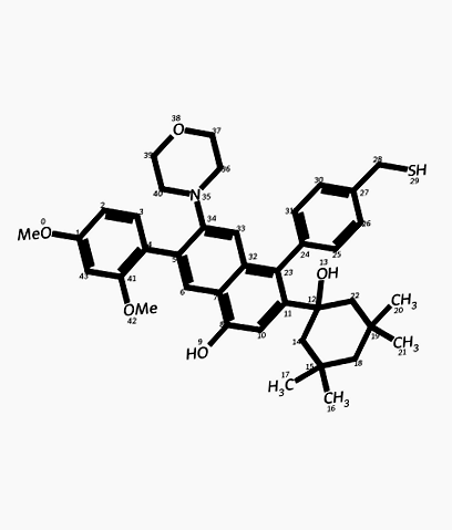 COc1ccc(-c2cc3c(O)cc(C4(O)CC(C)(C)CC(C)(C)C4)c(-c4ccc(CS)cc4)c3cc2N2CCOCC2)c(OC)c1